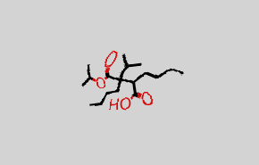 CCCCC(C(=O)O)C(CCCC)(C(=O)OC(C)C)C(C)C